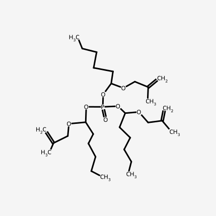 C=C(C)COC(CCCCC)OP(=O)(OC(CCCCC)OCC(=C)C)OC(CCCCC)OCC(=C)C